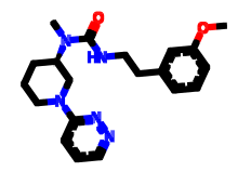 COc1cccc(CCNC(=O)N(C)[C@@H]2CCCN(c3cccnn3)C2)c1